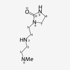 CNCCNCCN1CCNC1=O